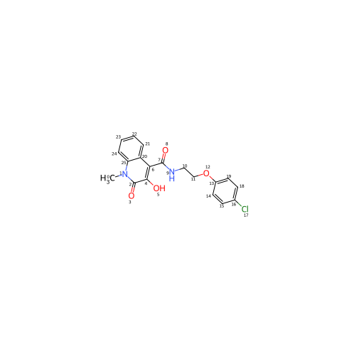 Cn1c(=O)c(O)c(C(=O)NCCOc2ccc(Cl)cc2)c2ccccc21